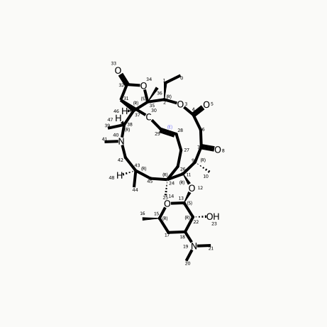 CC[C@H]1OC(=O)CC(=O)[C@H](C)[C@@H](O[C@@H]2O[C@H](C)CC(N(C)C)[C@H]2O)[C@]2(C)CC/C=C/CC3C(=O)O[C@@]1(C)[C@H]3[C@@H](C)N(C)C[C@H](C)C2